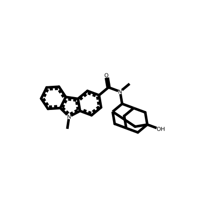 CN(C(=O)c1ccc2c(c1)c1ccccc1n2C)C1C2CC3CC1CC(O)(C3)C2